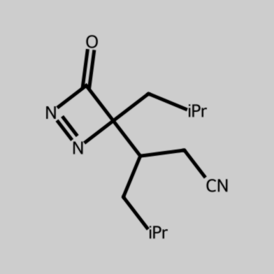 CC(C)CC(CC#N)C1(CC(C)C)N=NC1=O